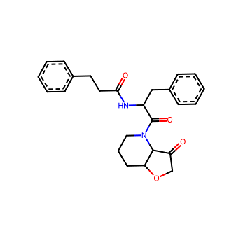 O=C(CCc1ccccc1)NC(Cc1ccccc1)C(=O)N1CCCC2OCC(=O)C21